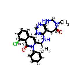 C[C@H](Nc1ncnc2c1CC(=O)N(C)CN2)c1cc2cccc(Cl)c2c(=O)n1-c1ccccc1